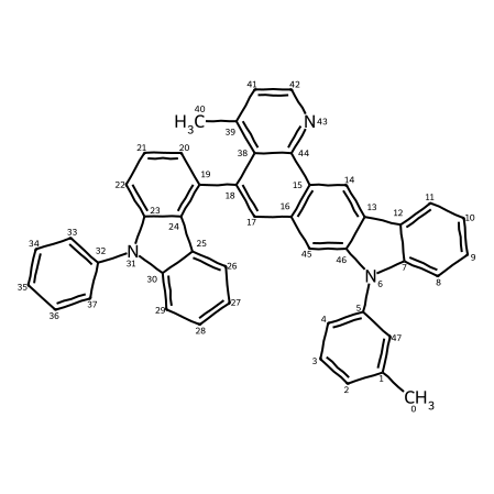 Cc1cccc(-n2c3ccccc3c3cc4c(cc(-c5cccc6c5c5ccccc5n6-c5ccccc5)c5c(C)ccnc54)cc32)c1